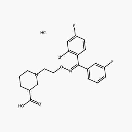 Cl.O=C(O)C1CCCN(CCON=C(c2cccc(F)c2)c2ccc(F)cc2Cl)C1